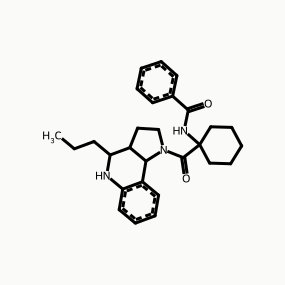 CCCC1Nc2ccccc2C2C1CCN2C(=O)C1(NC(=O)c2ccccc2)CCCCC1